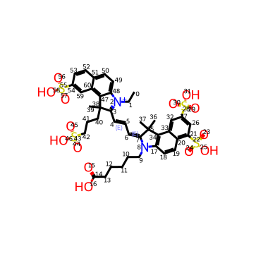 CC[N+]1=C(/C=C/C=C2/N(CCCCCC(=O)O)c3ccc4c(S(=O)(=O)O)cc(S(=O)(=O)O)cc4c3C2(C)C)C(C)(CCCS(=O)(=O)O)c2c1ccc1ccc(S(=O)(=O)O)cc21